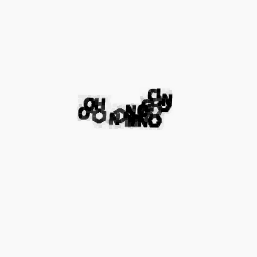 Cn1c(C(=O)Nc2cccc(-c3ccnc(Cl)c3Cl)c2Cl)nc2c1CCN(C[C@H]1CC[C@H](C(=O)O)CC1)C2